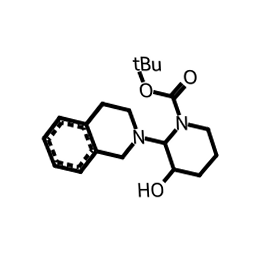 CC(C)(C)OC(=O)N1CCCC(O)C1N1CCc2ccccc2C1